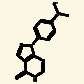 C[S+]([O-])c1ccc(-n2ncc3c(=O)[nH]cnc32)cc1